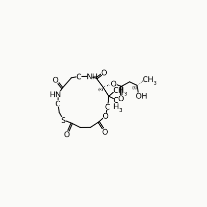 C[C@H](O)CC(=O)O[C@H]1C(=O)NCCC(=O)NCCSC(=O)CCC(=O)OCC1(C)C